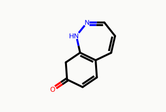 O=C1C=CC2=C(C1)NN=CC=C2